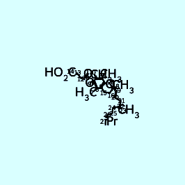 Cc1c(C)c2c(c(C)c1OC(=O)CCC(=O)O)CCC(C)(C=CCC(C)CCCC(C)C)O2